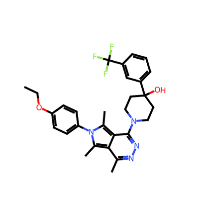 CCOc1ccc(-n2c(C)c3c(C)nnc(N4CCC(O)(c5cccc(C(F)(F)F)c5)CC4)c3c2C)cc1